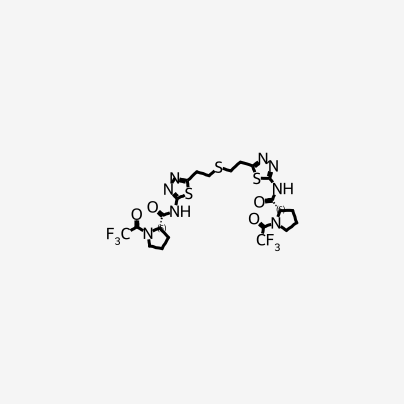 O=C(Nc1nnc(CCSCCc2nnc(NC(=O)[C@@H]3CCCN3C(=O)C(F)(F)F)s2)s1)[C@@H]1CCCN1C(=O)C(F)(F)F